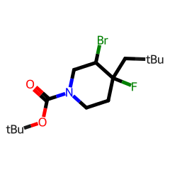 CC(C)(C)CC1(F)CCN(C(=O)OC(C)(C)C)CC1Br